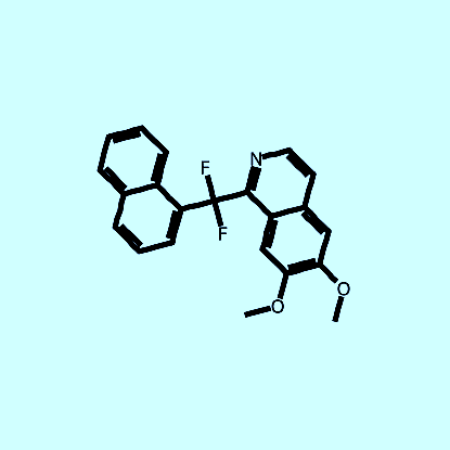 COc1cc2ccnc(C(F)(F)c3cccc4ccccc34)c2cc1OC